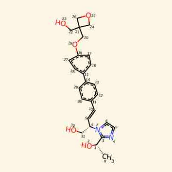 C[C@H](O)c1nccn1[C@@H](/C=C/c1ccc(-c2ccc(OCC3(CO)COC3)cc2)cc1)CO